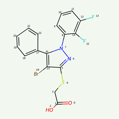 O=C(O)CSc1nn(-c2cccc(F)c2F)c(-c2ccccc2)c1Br